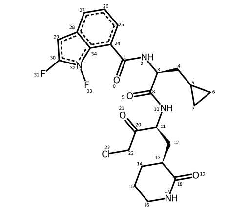 O=C(N[C@@H](CC1CC1)C(=O)N[C@@H](C[C@@H]1CCCNC1=O)C(=O)CCl)c1cccc2cc(F)n(F)c12